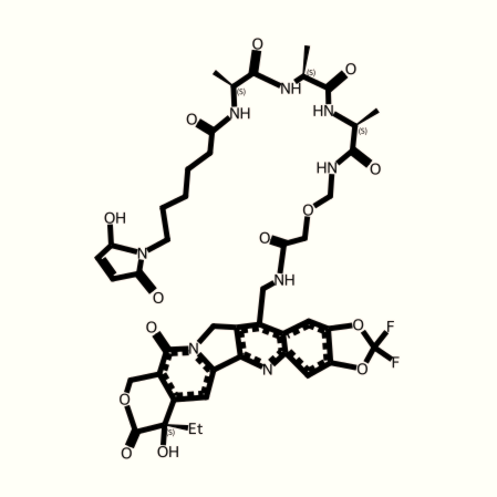 CC[C@@]1(O)C(=O)OCc2c1cc1n(c2=O)Cc2c-1nc1cc3c(cc1c2CNC(=O)COCNC(=O)[C@H](C)NC(=O)[C@H](C)NC(=O)[C@H](C)NC(=O)CCCCCN1C(=O)C=CC1O)OC(F)(F)O3